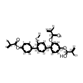 C=C(C)C(=O)Oc1ccc(-c2ccc(-c3ccc(OC(O)C(=C)C)cc3OC(=O)C(=C)C)cc2SC)cc1